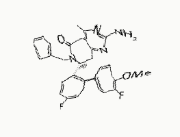 COc1ccc(-c2cc(F)ccc2[C@H]2Cc3nc(N)nc(C)c3C(=O)N2Cc2ccccc2)cc1F